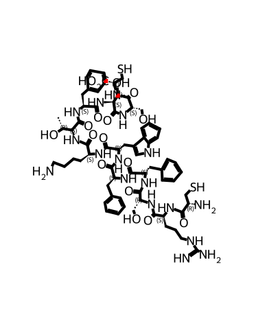 C[C@@H](O)[C@H](NC(=O)[C@H](Cc1ccccc1)NC(=O)[C@@H](NC(=O)[C@H](CCCCN)NC(=O)[C@@H](Cc1c[nH]c2ccccc12)NC(=O)[C@H](Cc1ccccc1)NC(=O)[C@H](Cc1ccccc1)NC(=O)[C@@H](CO)NC(=O)[C@H](CCCNC(=N)N)NC(=O)[C@@H](N)CS)[C@@H](C)O)C(=O)N[C@@H](CO)C(=O)N[C@@H](CS)C(=O)O